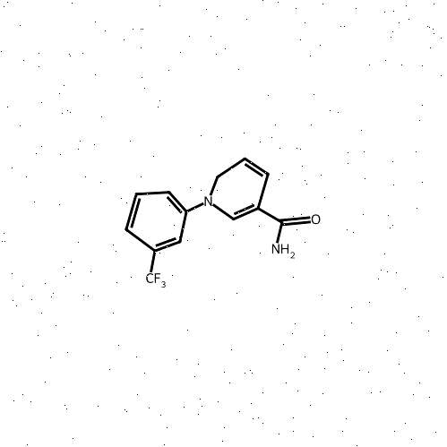 NC(=O)C1=CN(c2cccc(C(F)(F)F)c2)CC=C1